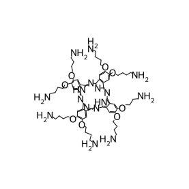 NCCCCOc1cc2c(cc1OCCCCN)-c1nc-2nc2[nH]c(nc3nc(nc4[nH]c(n1)c1cc(OCCCCN)c(OCCCCN)cc41)-c1cc(OCCCCN)c(OCCCCN)cc1-3)c1cc(OCCCCN)c(OCCCCN)cc21